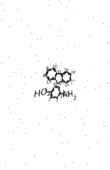 Nc1ccc(O)cc1.c1ccc2c(c1)Cc1ccccc1-2